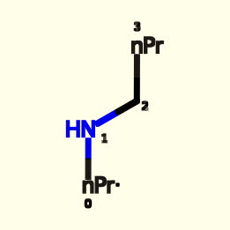 CC[CH]NCCCC